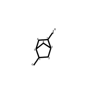 CC1CC2CC1CC2I